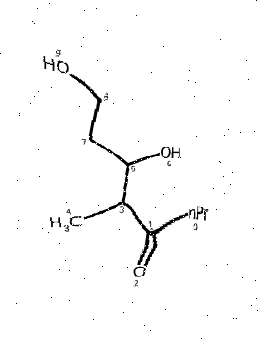 CCCC(=O)C(C)C(O)CCO